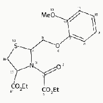 CCOC(=O)C(=O)N1C(COc2ccccc2OC)SCC1C(=O)OCC